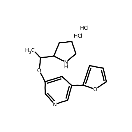 CC(Oc1cncc(-c2ccco2)c1)C1CCCN1.Cl.Cl